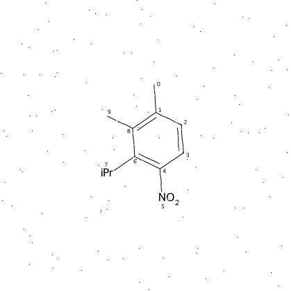 Cc1ccc([N+](=O)[O-])c(C(C)C)c1C